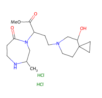 COC(=O)C(CCN1CCC2(CC2)C(O)C1)N1CC(C)NCCC1=O.Cl.Cl